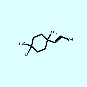 CCC1(C)CCC(C)(/C=C/O)CC1